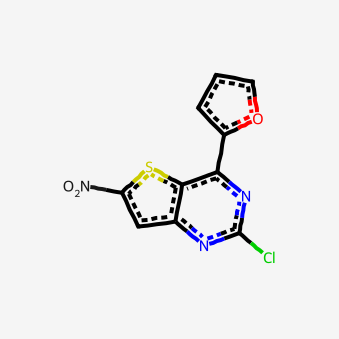 O=[N+]([O-])c1cc2nc(Cl)nc(-c3ccco3)c2s1